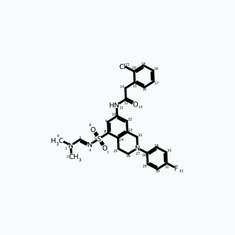 CN(C)/C=N/S(=O)(=O)c1cc(NC(=O)Cc2ccccc2Cl)cc2c1CCN(c1ccc(F)cc1)C2